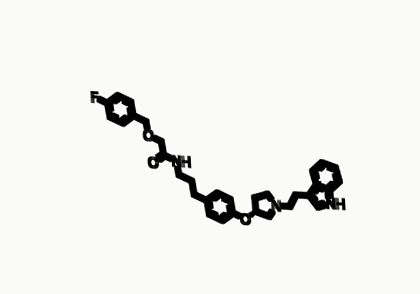 O=C(COCc1ccc(F)cc1)NCCCc1ccc(O[C@H]2CCN(CCc3c[nH]c4ccccc34)C2)cc1